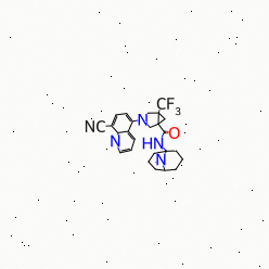 CN1C2CCCC1(NC(=O)C13CN(c4ccc(C#N)c5ncccc45)CC1(C(F)(F)F)C3)CCC2